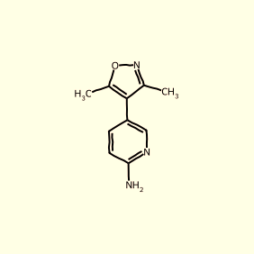 Cc1noc(C)c1-c1ccc(N)nc1